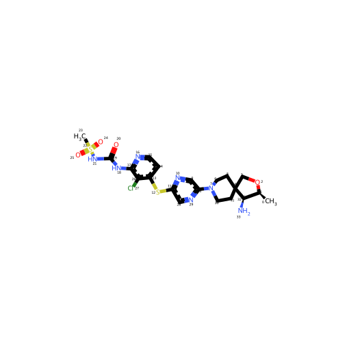 C[C@@H]1OCC2(CCN(c3cnc(Sc4ccnc(NC(=O)NS(C)(=O)=O)c4Cl)cn3)CC2)[C@@H]1N